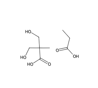 CC(CO)(CO)C(=O)O.CCC(=O)O